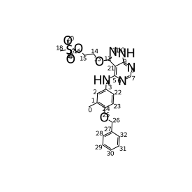 Cc1cc(Nc2ncnc3[nH]nc(OCCOS(C)(=O)=O)c23)ccc1OCc1ccccc1